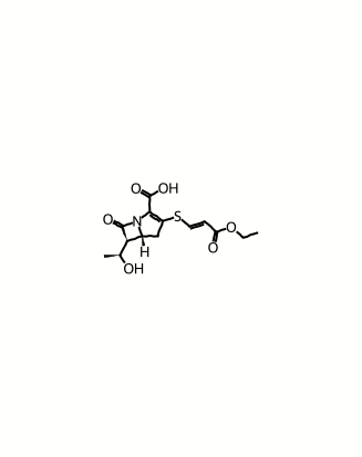 CCOC(=O)C=CSC1=C(C(=O)O)N2C(=O)[C@H]([C@H](C)O)[C@H]2C1